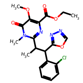 CCOC(=O)c1nc(C(C)C(c2nnco2)c2ccccc2Cl)n(C)c(=O)c1OC